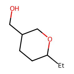 CCC1CCC(CO)CO1